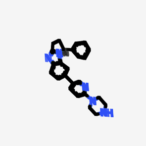 c1ccc([C@@H]2CCc3nc4ccc(-c5ccc(N6CCNCC6)nc5)cc4n32)cc1